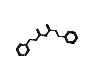 C=C(CCc1ccccc1)OC(=C)CCc1ccccc1